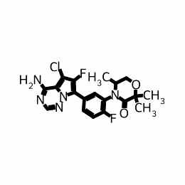 CC1COC(C)(C)C(=O)N1c1cc(-c2c(F)c(Cl)c3c(N)ncnn23)ccc1F